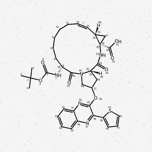 CC(C)(C)OC(=O)N[C@@H]1CCCCC/C=C\[C@@H]2C[C@@]2(C(=O)O)NC(=O)[C@@H]2CC(Oc3nc4ccccc4nc3-c3cccs3)CN2C1=O